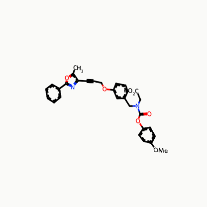 COc1ccc(OC(=O)N(CC(=O)O)Cc2cccc(OCC#Cc3nc(-c4ccccc4)oc3C)c2)cc1